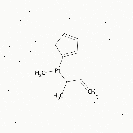 C=C[CH](C)[Pt]([CH3])[C]1=CC=CC1